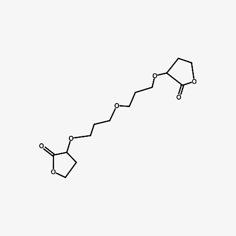 O=C1OCCC1OCCCOCCCOC1CCOC1=O